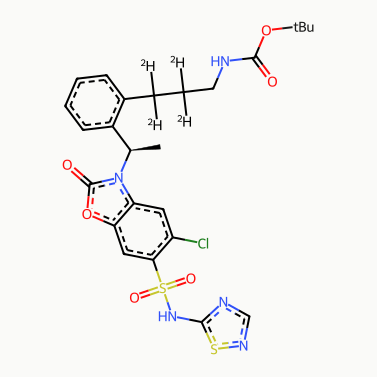 [2H]C([2H])(CNC(=O)OC(C)(C)C)C([2H])([2H])c1ccccc1[C@@H](C)n1c(=O)oc2cc(S(=O)(=O)Nc3ncns3)c(Cl)cc21